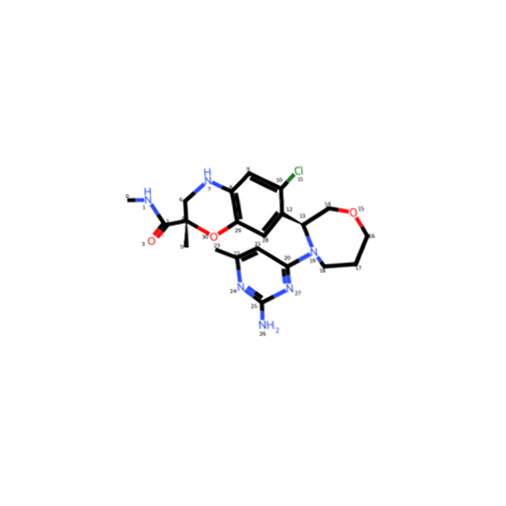 CNC(=O)[C@]1(C)CNc2cc(Cl)c([C@H]3COCCCN3c3cc(C)nc(N)n3)cc2O1